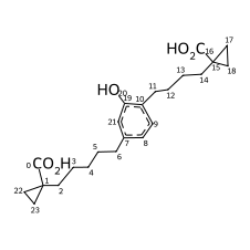 O=C(O)C1(CCCCCc2ccc(CCCCC3(C(=O)O)CC3)c(O)c2)CC1